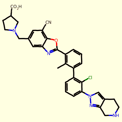 Cc1c(-c2nc3cc(CN4CCC(C(=O)O)C4)cc(C#N)c3o2)cccc1-c1cccc(-n2cc3c(n2)CNCC3)c1Cl